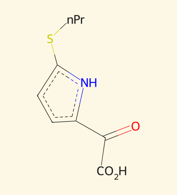 CCCSc1ccc(C(=O)C(=O)O)[nH]1